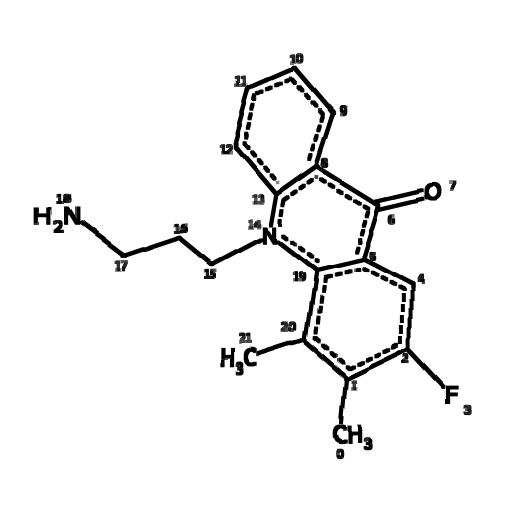 Cc1c(F)cc2c(=O)c3ccccc3n(CCCN)c2c1C